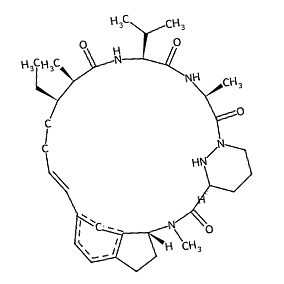 CC[C@@H]1CC/C=C/c2ccc3c(c2)[C@@H](CC3)N(C)C(=O)[C@@H]2CCCN(N2)C(=O)[C@H](C)NC(=O)[C@H](C(C)C)NC(=O)[C@@H]1C